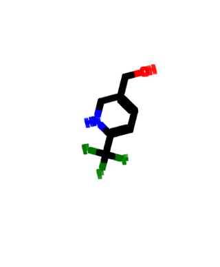 OCC1=CC=C(C(F)(F)F)NC1